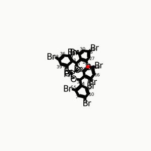 O=[PH](OC(c1c(Br)cc(Br)cc1Br)c1c(Br)cc(Br)cc1Br)OC(c1c(Br)cc(Br)cc1Br)c1c(Br)cc(Br)cc1Br